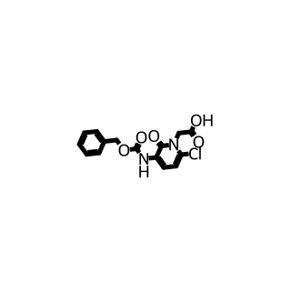 O=C(O)Cn1c(Cl)ccc(NC(=O)OCc2ccccc2)c1=O